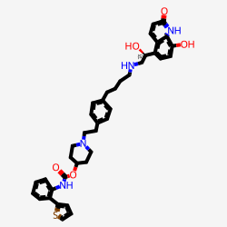 O=C(Nc1ccccc1-c1cccs1)OC1CCN(CCc2ccc(CCCCNC[C@@H](O)c3ccc(O)c4[nH]c(=O)ccc34)cc2)CC1